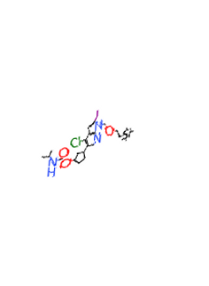 CC(C)NC(=O)O[C@@H]1CC[C@H](c2cnc3c(cc(I)n3COCC[Si](C)(C)C)c2Cl)C1